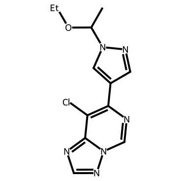 CCOC(C)n1cc(-c2ncn3ncnc3c2Cl)cn1